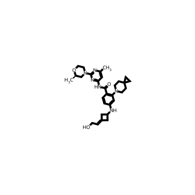 Cc1cc(NC(=O)c2ccc(NC3CC(=CCO)C3)cc2N2CCC3(CC2)CC3)nc(N2CCO[C@H](C)C2)n1